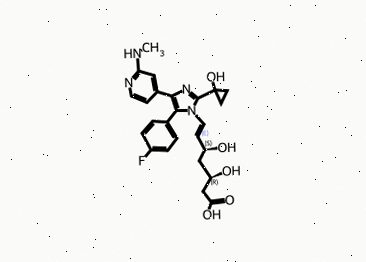 CNc1cc(-c2nc(C3(O)CC3)n(/C=C/[C@@H](O)C[C@@H](O)CC(=O)O)c2-c2ccc(F)cc2)ccn1